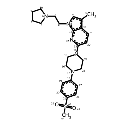 Cc1cn(CCN2CCCC2)c2nc(N3CCN(c4ccc(S(C)(=O)=O)cc4)CC3)ccc12